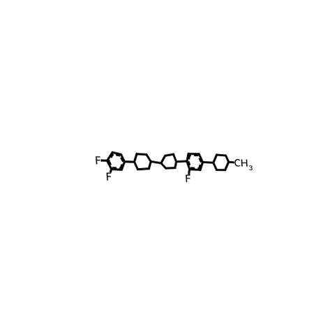 CC1CCC(c2ccc(C3CCC(C4CCC(c5ccc(F)c(F)c5)CC4)CC3)c(F)c2)CC1